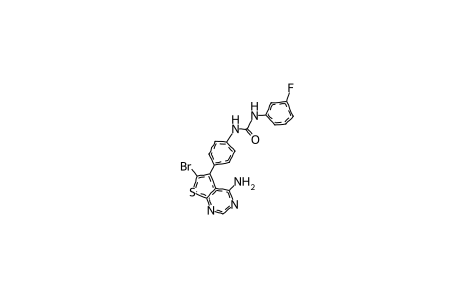 Nc1ncnc2sc(Br)c(-c3ccc(NC(=O)Nc4cccc(F)c4)cc3)c12